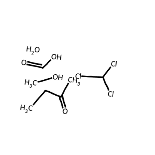 CCC(C)=O.CO.ClC(Cl)Cl.O.O=CO